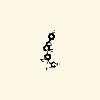 COc1cc(-n2ccc3cc(-c4ccc(Cl)cc4)sc3c2=O)ccc1OC1CNCC1O